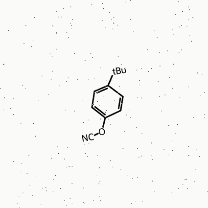 CC(C)(C)c1ccc(OC#N)cc1